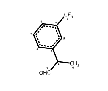 CC(C=O)c1cccc(C(F)(F)F)c1